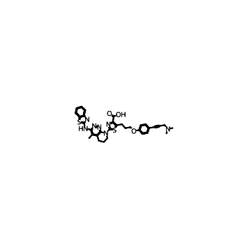 Cc1c(Nc2nc3ccccc3s2)nnc2c1CCCN2c1nc(C(=O)O)c(CCCOc2ccc(C#CCN(C)C)cc2)s1